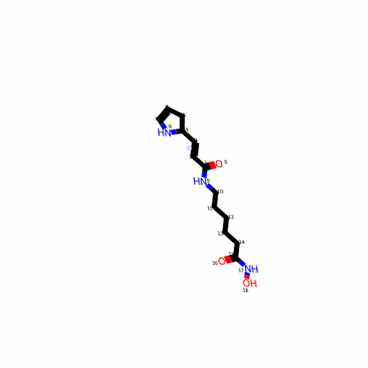 O=C(/C=C/C1CC=CN1)NCCCCCC(=O)NO